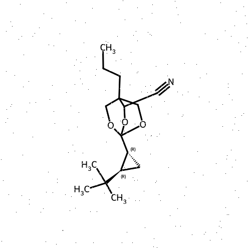 CCCC12COC([C@@H]3C[C@H]3C(C)(C)C)(OC1)OC2C#N